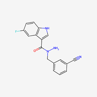 N#Cc1cccc(CN(N)C(=O)c2c[nH]c3ccc(F)cc23)c1